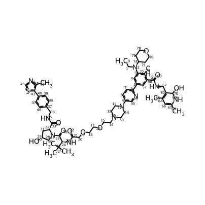 CCN(c1cc(-c2ccc(N3CCN(CCOCCOCC(=O)N[C@H](C(=O)N4C[C@H](O)C[C@H]4C(=O)NCc4ccc(-c5scnc5C)cc4)C(C)(C)C)CC3)cn2)cc(C(=O)NCC2=C(C)C=C(C)NC2O)c1C)C1CCOCC1